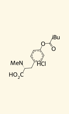 CCC(C)C(=O)Oc1ccc(C[C@@H](NC)C(=O)O)cc1.Cl